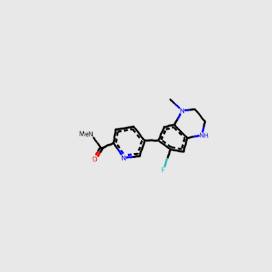 CNC(=O)c1ccc(-c2cc3c(cc2F)NCCN3C)cn1